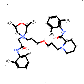 Cc1cccc(C)c1NC(=O)C[N+]1(CCCOCCCN2CCCCC2C(=O)Nc2c(C)cccc2C)CC(C)OC(C)C1